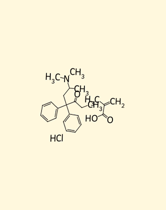 C=C(C)C(=O)O.CCC(=O)C(CC(C)N(C)C)(c1ccccc1)c1ccccc1.Cl